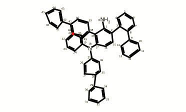 Nc1c(-c2ccccc2-c2ccccc2)ccc(N(c2ccccc2)c2ccc(-c3ccccc3)cc2)c1-c1ccc(-c2ccccc2)cc1